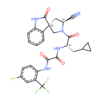 N#C[C@@H]1C[C@@]2(CN1C(=O)[C@H](CC1CC1)NC(=O)C(=O)Nc1ccc(F)cc1C(F)(F)F)C(=O)Nc1ccccc12